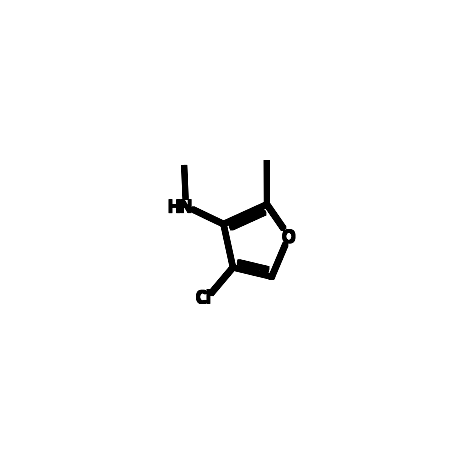 CNc1c(Cl)coc1C